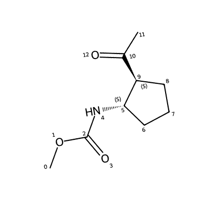 COC(=O)N[C@H]1CCC[C@@H]1C(C)=O